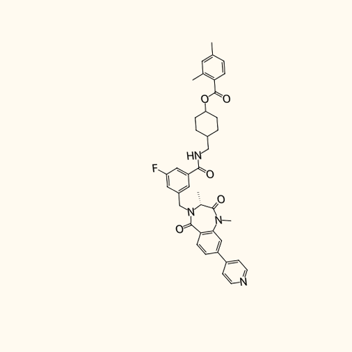 Cc1ccc(C(=O)OC2CCC(CNC(=O)c3cc(F)cc(CN4C(=O)c5ccc(-c6ccncc6)cc5N(C)C(=O)[C@H]4C)c3)CC2)c(C)c1